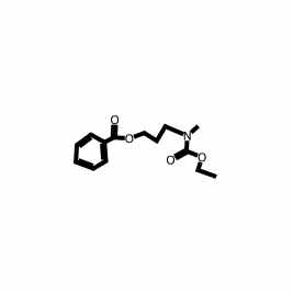 CCOC(=O)N(C)CCCOC(=O)c1ccccc1